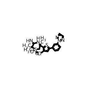 CC1(C)C(=N)N[C@](C)(c2sc(-c3cccc(-n4nccn4)c3)cc2Cl)CS1(=O)=O